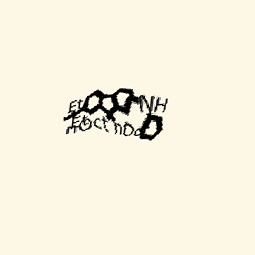 CCCCCCCCC1(CCCCCCCC)c2cc(Nc3ccccc3)ccc2-c2ccc(C(C)(CC)CC)cc21